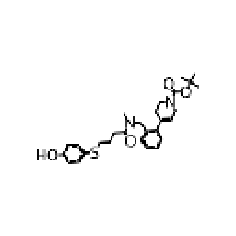 CN(Cc1ccccc1C1=CCN(C(=O)OC(C)(C)C)CC1)C(=O)CCCSc1ccc(O)cc1